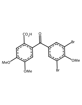 COc1cc(C(=O)O)c(C(=O)c2cc(Br)c(OC)c(Br)c2)cc1OC